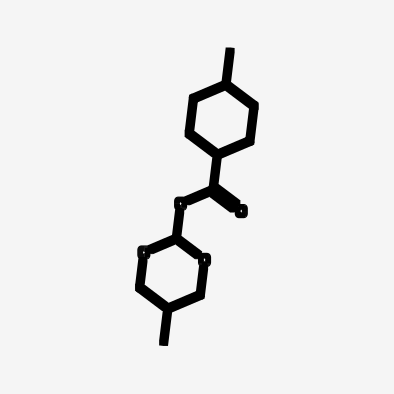 CC1CCC(C(=O)OC2OCC(C)CO2)CC1